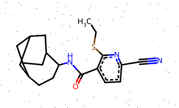 CCSc1nc(C#N)ccc1C(=O)NC1CCC2CC3CC2CC1C3